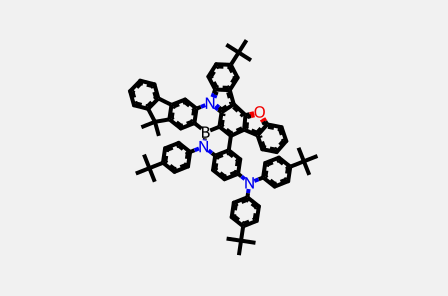 CC(C)(C)c1ccc(N2B3c4cc5c(cc4-n4c6ccc(C(C)(C)C)cc6c6c7oc8ccccc8c7c(c3c64)-c3cc(N(c4ccc(C(C)(C)C)cc4)c4ccc(C(C)(C)C)cc4)ccc32)-c2ccccc2C5(C)C)cc1